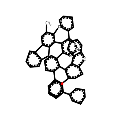 Cc1cc2c(c(-c3c(-c4ccccc4)nnnc3-c3cccc(-c4ccccc4)c3-c3c(-c4ccccc4-c4ccccc4)ccc4sc5ccccc5c34)c1C)Cc1ccccc1-2